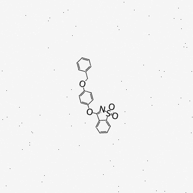 O=S1(=O)N=C(Oc2ccc(OCc3ccccc3)cc2)c2ccccc21